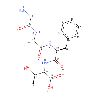 C[C@H](NC(=O)CN)C(=O)N[C@@H](Cc1ccccc1)C(=O)N[C@H](C(=O)O)[C@@H](C)O